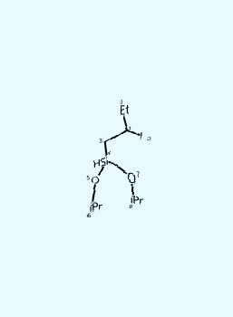 CCC(I)C[SiH](OC(C)C)OC(C)C